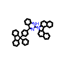 c1ccc(C2(c3ccc(C4=NC(n5c6ccc7ccccc7c6c6c7ccccc7ccc65)Nc5ccccc54)cc3)c3ccccc3-c3ccccc32)cc1